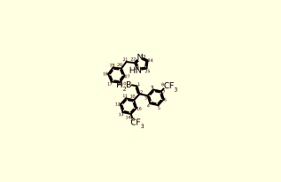 BC=C(c1cccc(C(F)(F)F)c1)c1cccc(C(F)(F)F)c1.c1ccc(Cc2ncc[nH]2)cc1